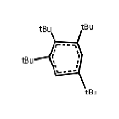 CC(C)(C)c1cc(C(C)(C)C)c(C(C)(C)C)c(C(C)(C)C)c1